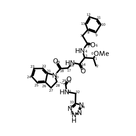 COC(C)C(NC(=O)Cc1ccccc1)C(=O)NCC(=O)N1c2ccccc2C[C@H]1C(=O)NCc1nn[nH]n1